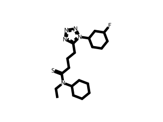 CCN(C(=S)CCCc1nnnn1C1CCCC(F)C1)C1CCCCC1